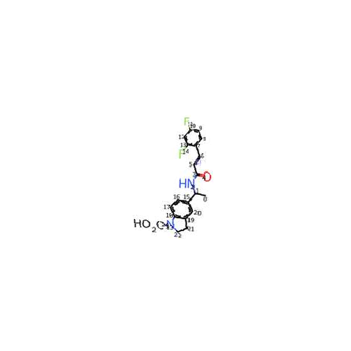 CC(NC(=O)/C=C/c1ccc(F)cc1F)c1ccc2c(c1)CCN2C(=O)O